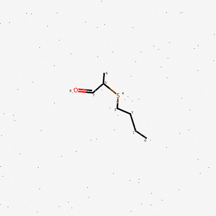 CCCCSC(C)C=O